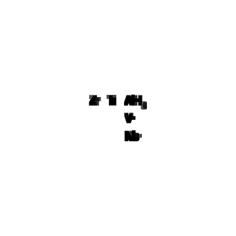 [AlH3].[Nb].[Ti].[V].[Zr]